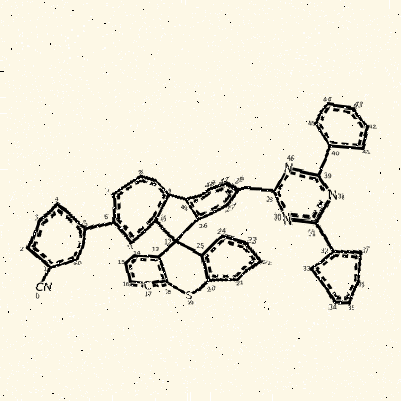 N#Cc1cccc(-c2ccc3c(c2)C2(c4ccccc4Sc4ccccc42)c2cc(-c4nc(-c5ccccc5)nc(-c5ccccc5)n4)ccc2-3)c1